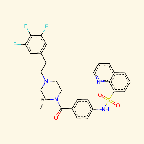 C[C@@H]1CN(CCc2cc(F)c(F)c(F)c2)CCN1C(=O)c1ccc(NS(=O)(=O)c2cccc3cccnc23)cc1